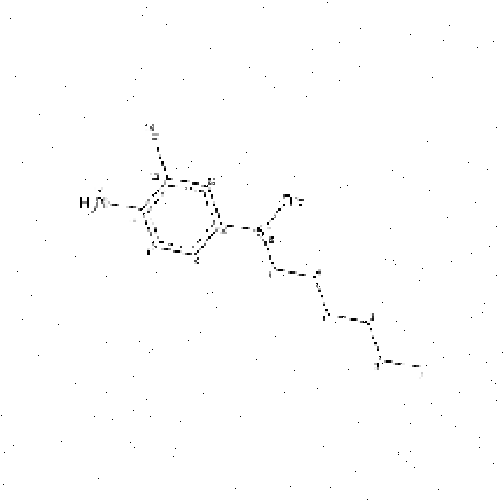 CCCCCC[S+]([O-])c1ccc(N)c(F)c1